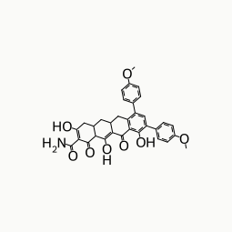 COc1ccc(-c2cc(-c3ccc(OC)cc3)c3c(c2O)C(=O)C2=C(O)C4C(=O)C(C(N)=O)=C(O)CC4CC2C3)cc1